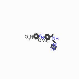 COc1cc([N+](=O)[O-])ccc1N=Nc1ccc(C(C)NCC[N+]23CCN(CC2)CC3)cc1